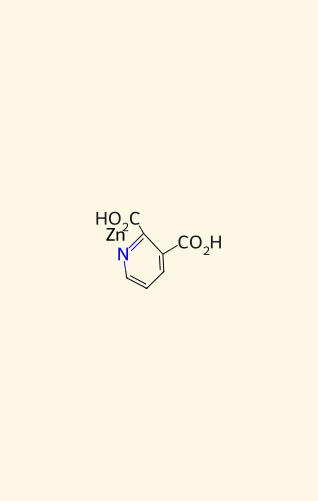 O=C(O)c1cccnc1C(=O)O.[Zn]